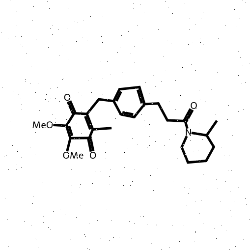 COC1=C(OC)C(=O)C(Cc2ccc(CCC(=O)N3CCCCC3C)cc2)=C(C)C1=O